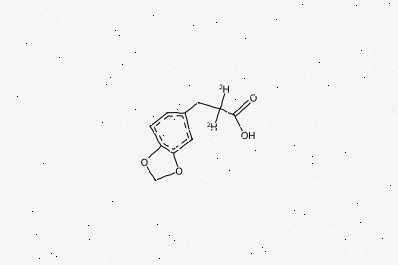 [2H]C([2H])(Cc1ccc2c(c1)OCO2)C(=O)O